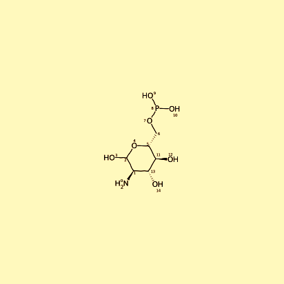 N[C@H]1C(O)O[C@H](COP(O)O)[C@@H](O)[C@@H]1O